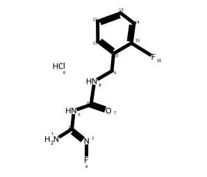 Cl.NC(=NF)NC(=O)NCc1ccccc1F